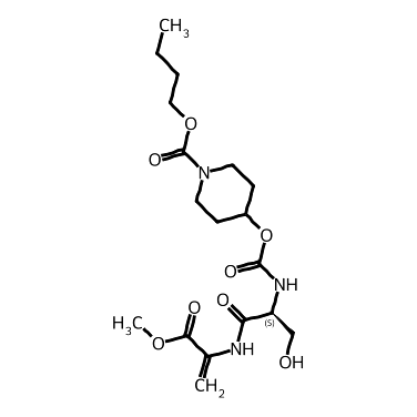 C=C(NC(=O)[C@H](CO)NC(=O)OC1CCN(C(=O)OCCCC)CC1)C(=O)OC